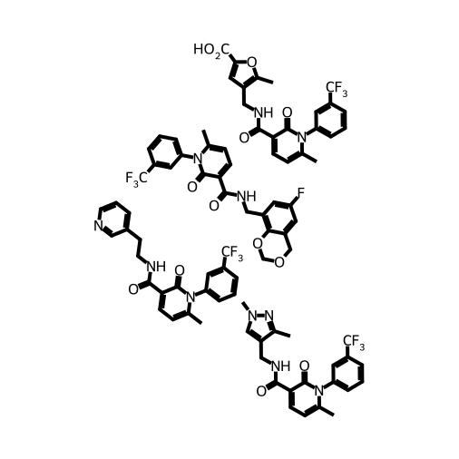 Cc1ccc(C(=O)NCCc2cccnc2)c(=O)n1-c1cccc(C(F)(F)F)c1.Cc1ccc(C(=O)NCc2cc(F)cc3c2OCOC3)c(=O)n1-c1cccc(C(F)(F)F)c1.Cc1nn(C)cc1CNC(=O)c1ccc(C)n(-c2cccc(C(F)(F)F)c2)c1=O.Cc1oc(C(=O)O)cc1CNC(=O)c1ccc(C)n(-c2cccc(C(F)(F)F)c2)c1=O